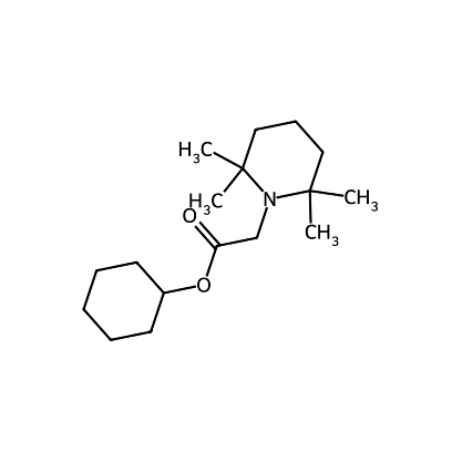 CC1(C)CCCC(C)(C)N1CC(=O)OC1CCCCC1